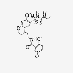 CCNC(=S)NS(=O)(=O)c1cc2c(cc1OC)OCCC2CCNC(=O)c1cc(Cl)ccc1OC